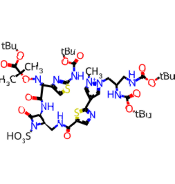 C[n+]1cc(-c2ncc(C(=O)NC[C@@H]3[C@H](NC(=O)/C(=N\OC(C)(C)C(=O)OC(C)(C)C)c4csc(NC(=O)OC(C)(C)C)n4)C(=O)N3S(=O)(=O)O)s2)cn1CC(CNC(=O)OC(C)(C)C)NC(=O)OC(C)(C)C